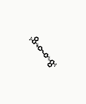 CN(C)c1ccc(N=Nc2ccc(C=Cc3ccc(N=Nc4ccc(N(C)C)c5ccccc45)cc3)cc2)c2ccccc12